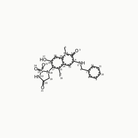 Cn1c(=O)c(NCc2ccccc2)cc2c(F)c(N3CC(=O)NS3(=O)=O)c(O)cc21